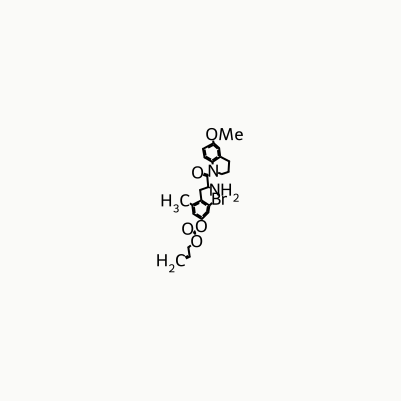 C=CCOC(=O)Oc1cc(C)c(C[C@@H](N)C(=O)N2CCCc3cc(OC)ccc32)c(Br)c1